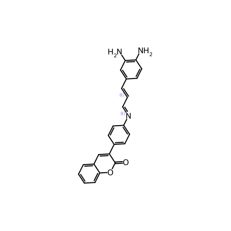 Nc1ccc(/C=C/C=N/c2ccc(-c3cc4ccccc4oc3=O)cc2)cc1N